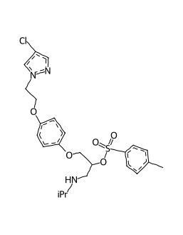 Cc1ccc(S(=O)(=O)OC(CNC(C)C)COc2ccc(OCCn3cc(Cl)cn3)cc2)cc1